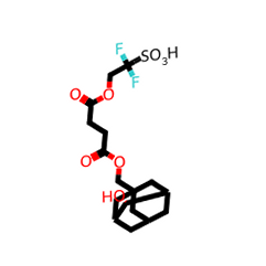 O=C(CCC(=O)OCC(F)(F)S(=O)(=O)O)OCC12CC3CC(C1)C(O)C(C3)C2